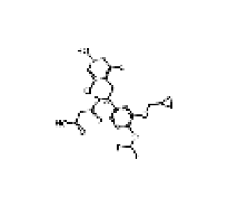 O=C(O)CC(=O)O[C@@H](CC1=C(Cl)CN(O)C=C1Cl)c1ccc(OC(F)F)c(OCC2CC2)c1